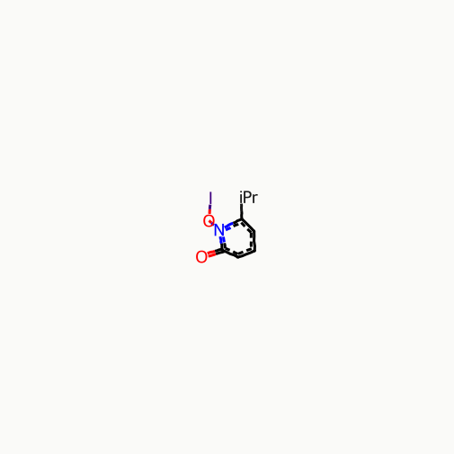 CC(C)c1cccc(=O)n1OI